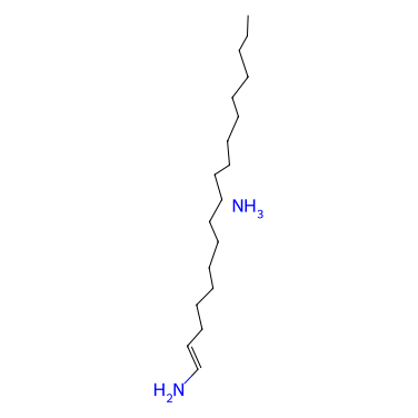 CCCCCCCCCCCCCCCCC=CN.N